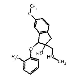 CNCC1(O)Cc2ccc(OC)cc2C1Oc1ccccc1C